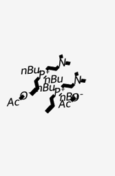 C=CC[P+](CCCC)(CCCC)CCN(C)C.C=CC[P+](CCCC)(CCCC)CCN(C)C.CC(=O)[O-].CC(=O)[O-]